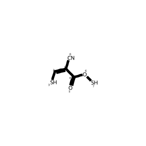 N#CC(=CS)C(=O)OS